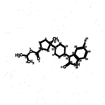 CC(C)OC(=O)N1CCC(C)(N2CCC(n3c(=O)[nH]c4ccc(F)cc43)CC2)C1